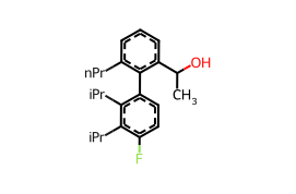 CCCc1cccc(C(C)O)c1-c1ccc(F)c(C(C)C)c1C(C)C